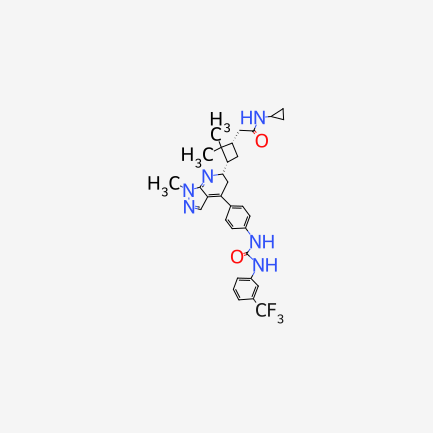 Cn1ncc2c1=NC([C@H]1C[C@@H](CC(=O)NC3CC3)C1(C)C)CC=2c1ccc(NC(=O)Nc2cccc(C(F)(F)F)c2)cc1